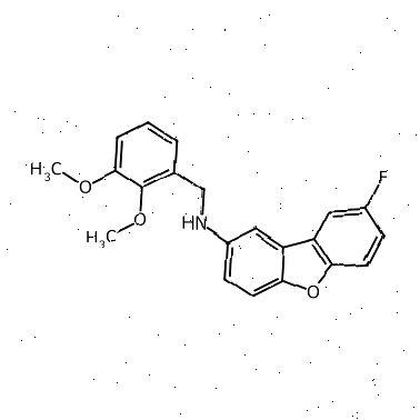 COc1cccc(CNc2ccc3oc4ccc(F)cc4c3c2)c1OC